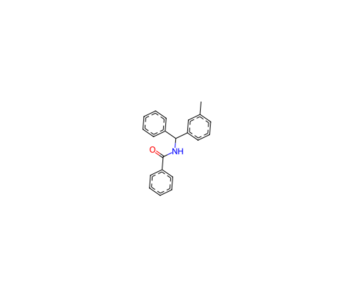 Cc1cccc(C(NC(=O)c2ccccc2)c2ccccc2)c1